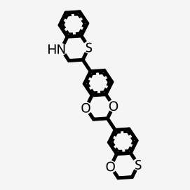 c1ccc2c(c1)NCC(c1ccc3c(c1)OCC(c1ccc4c(c1)OCCS4)O3)S2